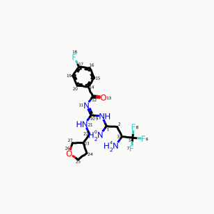 NC(CC(N)C(F)(F)F)N/C(=N\C(=O)c1ccc(F)cc1)NCC1CCOC1